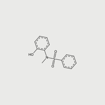 CN(c1ccccc1O)S(=O)(=O)c1ccccc1